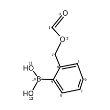 O=[C]OCc1ccccc1B(O)O